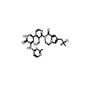 CCC(C)(C)Cc1cc2n(c1)CCN(c1nccc(-c3c[nH]c(=O)c(Nc4ccnc(C)n4)c3)c1CO)C2=O